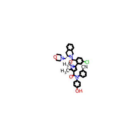 Cc1c(C(=O)N(c2ccc(O)cc2)c2cccc(C#N)c2)cc(-c2cc(Cl)ccc2C(=O)N2Cc3ccccc3C[C@H]2CN2CCOCC2)n1C